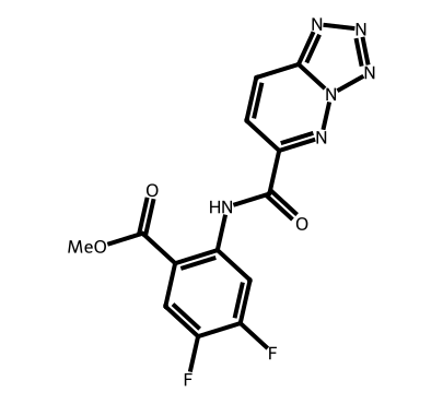 COC(=O)c1cc(F)c(F)cc1NC(=O)c1ccc2nnnn2n1